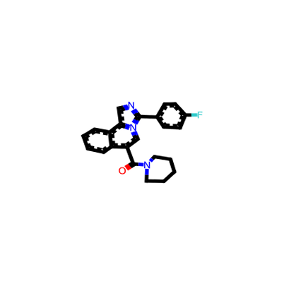 O=C(c1cn2c(-c3ccc(F)cc3)ncc2c2ccccc12)N1CCCCC1